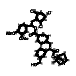 COc1ccc(C(Cc2c(Cl)c[n+]([O-])cc2Cl)OC(=O)c2ccc(CN(C(=O)O[C@H]3CN4CCC3CC4)c3cccc(CO)c3)cc2)cc1OC